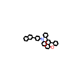 c1ccc(N(c2ccc(-c3ccc4ccccc4c3)cc2)c2ccccc2-c2cc3c4c(cccc4c2)Oc2ccccc2-3)cc1